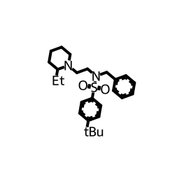 CCC1CCCCN1CCN(Cc1ccccc1)S(=O)(=O)c1ccc(C(C)(C)C)cc1